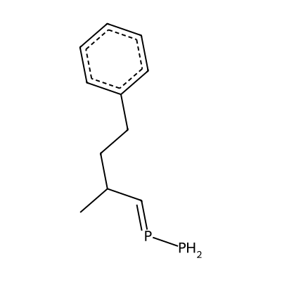 CC(/C=P/P)CCc1ccccc1